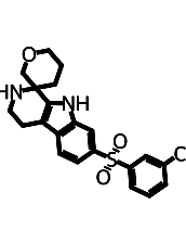 O=S(=O)(c1cccc(Cl)c1)c1ccc2c3c([nH]c2c1)C1(CCCOC1)NCC3